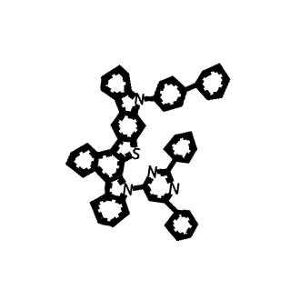 c1ccc(-c2ccc(-n3c4ccccc4c4cc5c(cc43)sc3c5c4ccccc4c4c5ccccc5n(-c5cc(-c6ccccc6)nc(-c6ccccc6)n5)c34)cc2)cc1